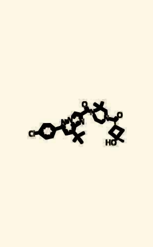 CC(C)(C)c1cc(-c2ccc(Cl)cc2)nn2cc(C(=O)N3CCN(C(=O)[C@H]4C[C@@](C)(O)C4)CC3(C)C)nc12